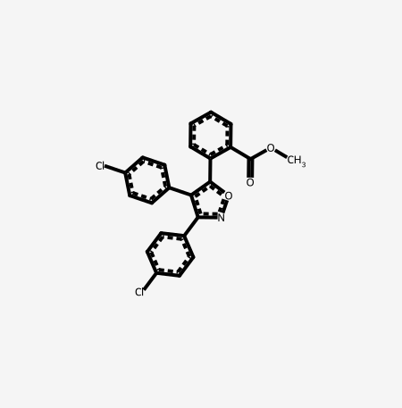 COC(=O)c1ccccc1-c1onc(-c2ccc(Cl)cc2)c1-c1ccc(Cl)cc1